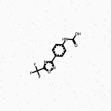 O=C(O)Nc1ccc(-c2noc(C(F)(F)F)n2)cc1